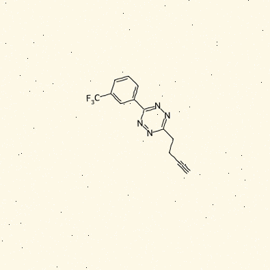 C#CCCc1nnc(-c2cccc(C(F)(F)F)c2)nn1